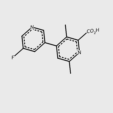 Cc1cc(-c2cncc(F)c2)c(C)c(C(=O)O)n1